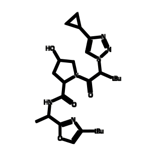 CC(NC(=O)C1CC(O)CN1C(=O)C(n1cc(C2CC2)nn1)C(C)(C)C)c1nc(C(C)(C)C)co1